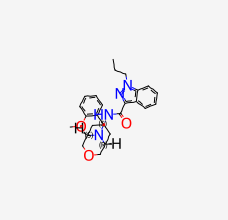 CCCn1nc(C(=O)N[C@H]2C[C@H]3COC[C@@H](C2)N3Cc2ccccc2OC)c2ccccc21